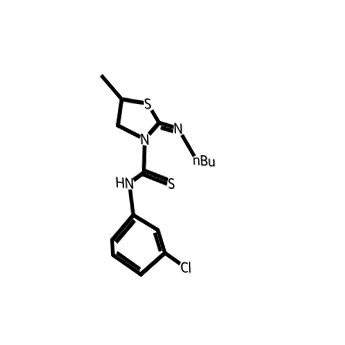 CCCC/N=C1/SC(C)CN1C(=S)Nc1cccc(Cl)c1